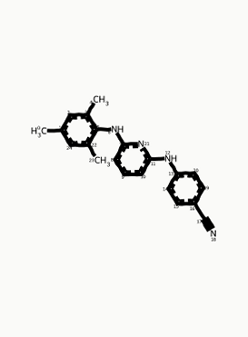 Cc1cc(C)c(Nc2cccc(Nc3ccc(C#N)cc3)n2)c(C)c1